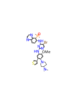 COc1cc(N2CCC(N(C)C)CC2)c(-c2ccsc2)cc1Nc1ncc(Br)c(Nc2ccc3nccnc3c2P(C)(C)=O)n1